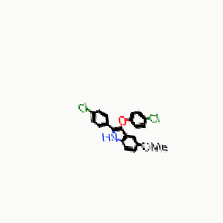 COc1ccc2[nH]c(-c3ccc(Cl)cc3)c(Oc3ccc(Cl)cc3)c2c1